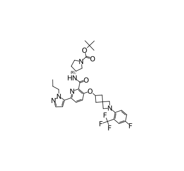 CCCn1nccc1-c1ccc(OC2CC3(C2)CN(c2ccc(F)cc2C(F)(F)F)C3)c(C(=O)N[C@@H]2CCN(C(=O)OC(C)(C)C)C2)n1